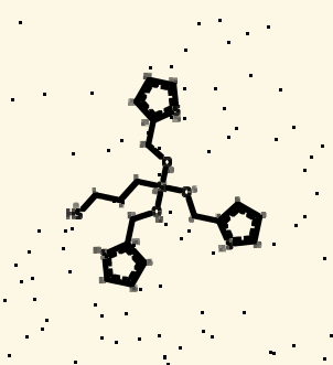 SCCC[Si](OCc1cccs1)(OCc1cccs1)OCc1cccs1